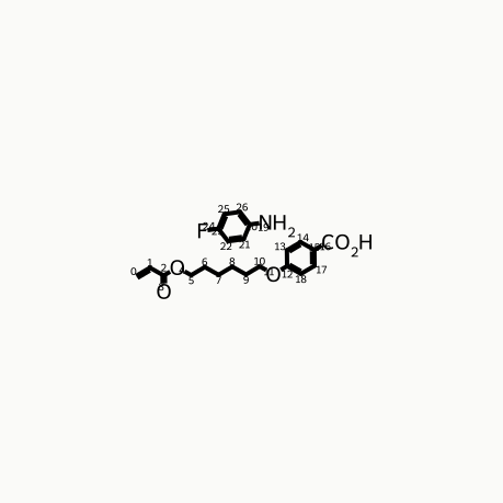 C=CC(=O)OCCCCCCOc1ccc(C(=O)O)cc1.Nc1ccc(F)cc1